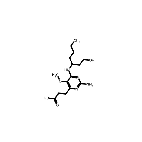 CCCCC(CCO)Nc1nc(N)nc(CCC(=O)O)c1OC